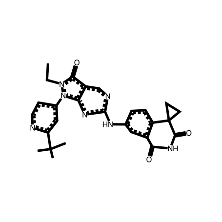 CCn1c(=O)c2cnc(Nc3ccc4c(c3)C(=O)NC(=O)C43CC3)nc2n1-c1ccnc(C(C)(C)C)c1